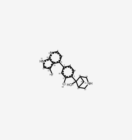 OC1(c2ccc(-c3ccnc4[nH]cc(F)c34)cc2Cl)C2CNCC1C2